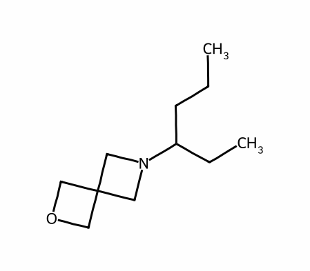 CCCC(CC)N1CC2(COC2)C1